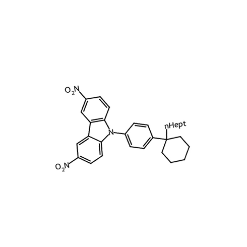 CCCCCCCC1(c2ccc(-n3c4ccc([N+](=O)[O-])cc4c4cc([N+](=O)[O-])ccc43)cc2)CCCCC1